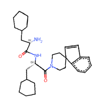 N[C@@H](CC1CCCCC1)C(=O)N[C@@H](CC1CCCCC1)C(=O)N1CCC2(C=Cc3ccccc32)CC1